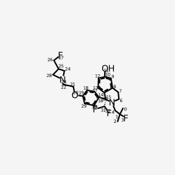 CC(C)(F)CN1CCc2cc(O)ccc2[C@@]1(c1ccc(OCCN2CC(CF)C2)cc1)C(F)F